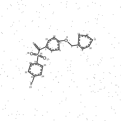 C=C(c1ccc(OCc2ccccc2)cc1)S(=O)(=O)c1ccc(F)cc1